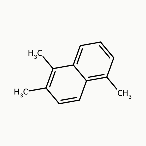 Cc1ccc2c(C)cccc2c1C